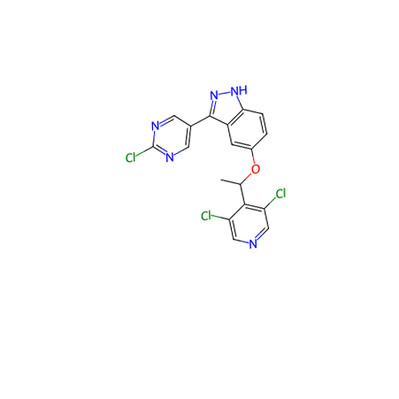 CC(Oc1ccc2[nH]nc(-c3cnc(Cl)nc3)c2c1)c1c(Cl)cncc1Cl